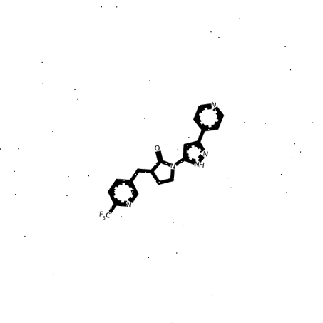 O=C1C(Cc2ccc(C(F)(F)F)nc2)CCN1c1cc(-c2ccncc2)n[nH]1